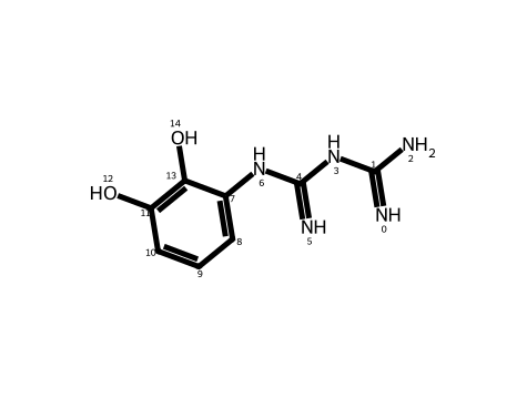 N=C(N)NC(=N)Nc1cccc(O)c1O